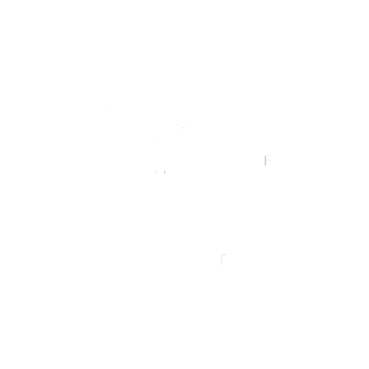 O=C(Oc1cc(F)[c]c(F)c1)C1CC1